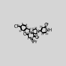 CC(C)N1CC(=O)N(Cc2ccc(Cl)cc2)[C@@]2(CCN(c3cc[nH]c(=O)c3)C2)C1=O